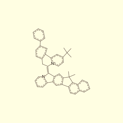 CC(C)(C)c1cc[n+]2c(c1)-c1cc(-c3ccccc3)ccc1C/C2=C1/c2cc3c(cc2-c2cccc[n+]21)-c1ccc2ccccc2c1C3(C)C